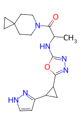 CC(Nc1nnc(C2CC2c2cc[nH]n2)o1)C(=O)N1CCC2(CC1)CC2